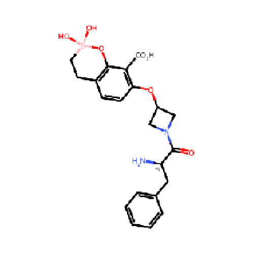 N[C@H](Cc1ccccc1)C(=O)N1CC(Oc2ccc3c(c2C(=O)O)O[B-](O)(O)CC3)C1